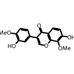 COc1ccc(-c2coc3c(OC)c(O)ccc3c2=O)cc1O